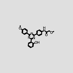 COCC(=O)Nc1ccc(-c2nc(-c3ccc(OC)cc3)nc(-c3ccccc3O)n2)cc1